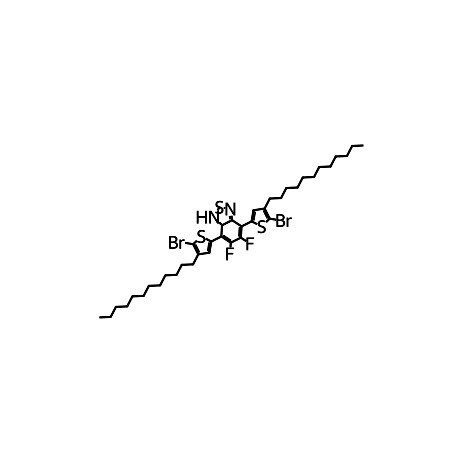 CCCCCCCCCCCCc1cc(C2=C(F)C(F)=C(c3cc(CCCCCCCCCCCC)c(Br)s3)C3NSN=C23)sc1Br